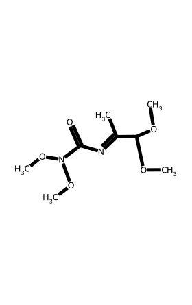 COC(OC)C(C)=NC(=O)N(OC)OC